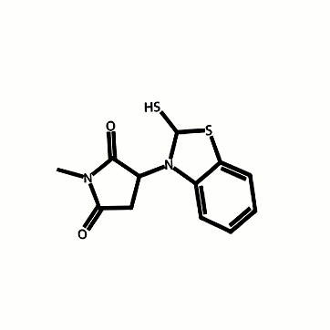 CN1C(=O)CC(N2c3ccccc3SC2S)C1=O